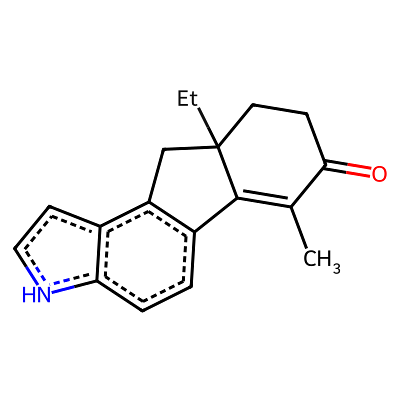 CCC12CCC(=O)C(C)=C1c1ccc3[nH]ccc3c1C2